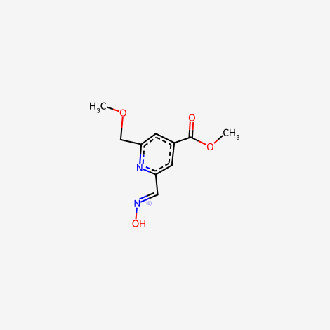 COCc1cc(C(=O)OC)cc(/C=N/O)n1